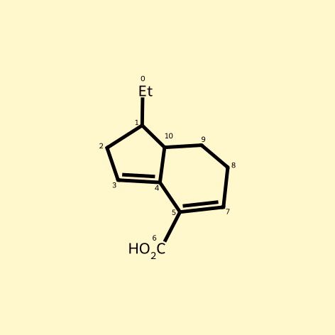 CCC1CC=C2C(C(=O)O)=CCCC21